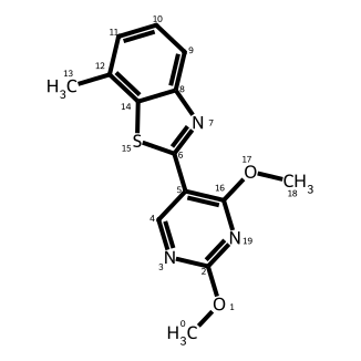 COc1ncc(-c2nc3cccc(C)c3s2)c(OC)n1